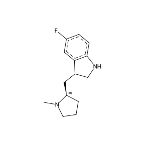 CN1CCC[C@@H]1CC1CNc2ccc(F)cc21